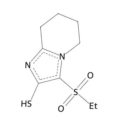 CCS(=O)(=O)c1c(S)nc2n1CCCC2